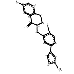 Cn1cc(-c2ccc(F)c(CN3CCc4ncc(Br)cc4C3=O)c2)cn1